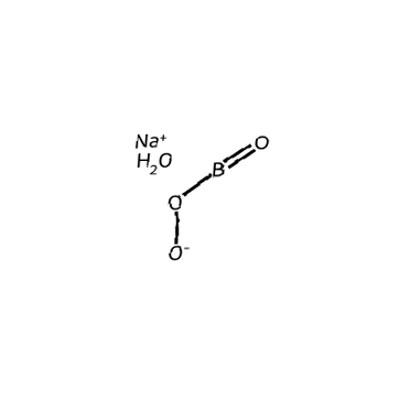 O.O=BO[O-].[Na+]